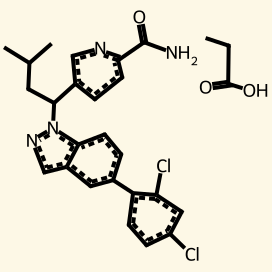 CC(C)CC(c1ccc(C(N)=O)nc1)n1ncc2cc(-c3ccc(Cl)cc3Cl)ccc21.CCC(=O)O